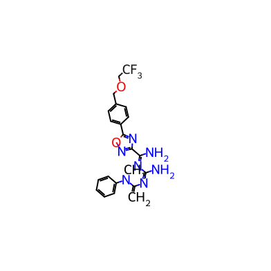 C=C(/N=C(N)\N=C(/N)c1noc(-c2ccc(COCC(F)(F)F)cc2)n1)N(C)c1ccccc1